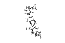 Cn1cc2cc(-c3cnc4cc(N5CCC(NC6CC6)C5)ccc4n3)c(O)c(F)c2n1